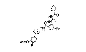 COc1cc(C2CCC(CNC(=O)c3ccc(Br)cc3NC(=S)NC(=O)c3ccccc3)O2)ccc1F